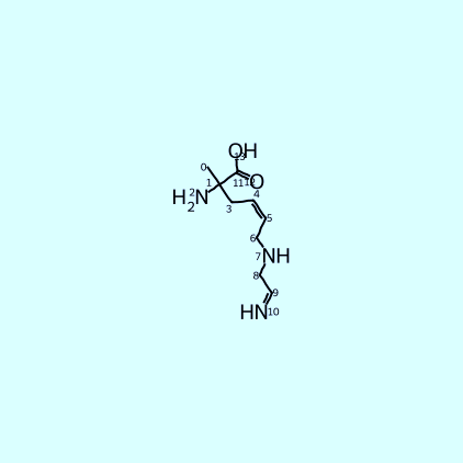 CC(N)(C/C=C\CNCC=N)C(=O)O